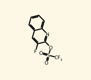 O=S(=O)(Oc1nc2ccccc2cc1F)C(F)(F)F